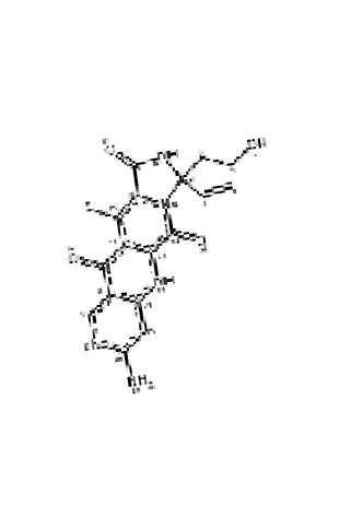 C=CC1(CCO)NC(=O)c2c(C)c3c(=O)c4cnc(N)cc4[nH]c3c(=O)n21